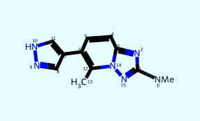 CNc1nc2ccc(-c3cn[nH]c3)c(C)n2n1